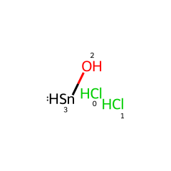 Cl.Cl.[OH][SnH]